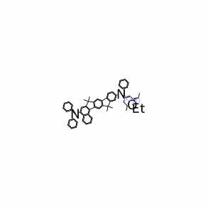 C/C=C\C=C(/CC(C)OCC)N(c1ccccc1)c1ccc2c(c1)C(C)(C)c1cc3c(cc1-2)C(C)(C)c1cc(N(c2ccccc2)c2ccccc2)c2ccccc2c1-3